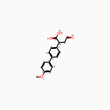 COc1ccc(-c2ccc(C(CC=O)C(=O)O)cc2)cc1